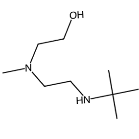 CN(CCO)CCNC(C)(C)C